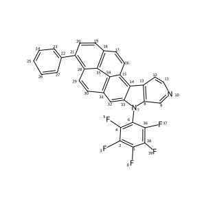 Fc1c(F)c(F)c(-n2c3cnccc3c3c4ccc5ccc(-c6ccccc6)c6ccc(cc32)c4c56)c(F)c1F